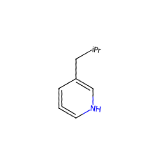 CC(C)CC1=CNC=C=C1